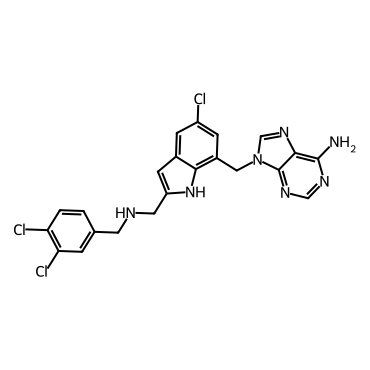 Nc1ncnc2c1ncn2Cc1cc(Cl)cc2cc(CNCc3ccc(Cl)c(Cl)c3)[nH]c12